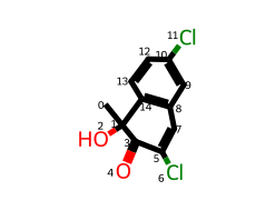 CC1(O)C(=O)C(Cl)=Cc2cc(Cl)ccc21